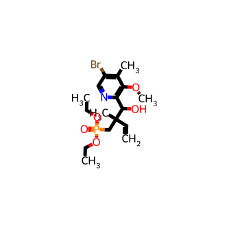 C=CC(C)(CP(=O)(OCC)OCC)C(O)c1ncc(Br)c(C)c1OC